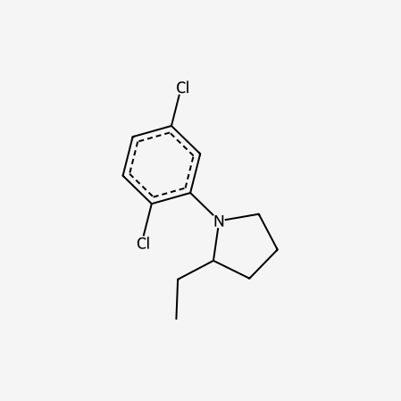 CCC1CCCN1c1cc(Cl)ccc1Cl